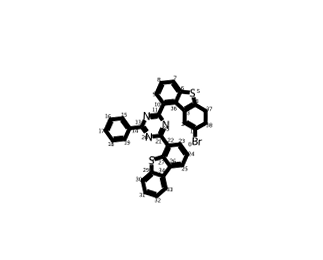 BrC1=Cc2c(sc3cccc(-c4nc(-c5ccccc5)nc(-c5cccc6c5sc5ccccc56)n4)c23)CC1